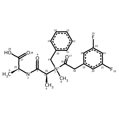 C[C@H]([N-]C(=O)[C@H](C)[N+](C)(Cc1ccccc1)C(=O)Cc1cc(F)cc(F)c1)C(=O)O